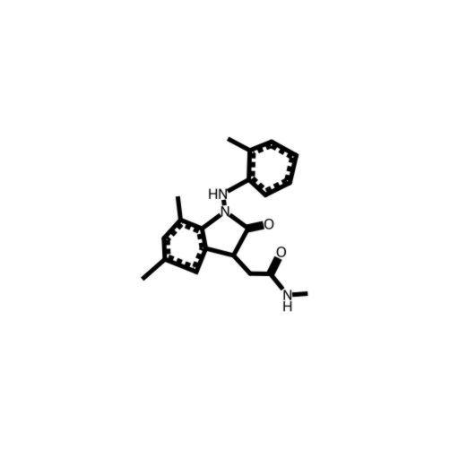 CNC(=O)CC1C(=O)N(Nc2ccccc2C)c2c(C)cc(C)cc21